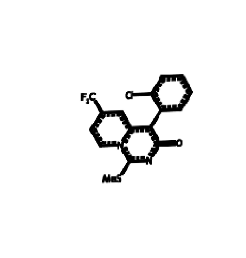 CSc1nc(=O)c(-c2ccccc2Cl)c2cc(C(F)(F)F)ccn12